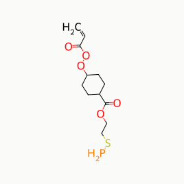 C=CC(=O)OOC1CCC(C(=O)OCCSP)CC1